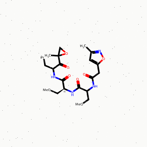 COCC(NC(=O)Cc1cc(C)no1)C(=O)N[C@@H](COC)C(=O)NC(CC(C)C)C(=O)C1(C)CO1